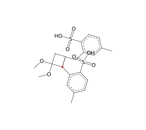 COC1(OC)CC(Cc2cc(C)ccc2S(=O)(=O)O)(Cc2cc(C)ccc2S(=O)(=O)O)C1